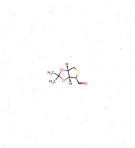 CC1(C)O[C@H]2[C@H](C=O)SC[C@H]2O1